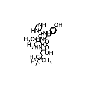 CCC(C)C(NC(=O)C(Cc1ccc(O)cc1)NC(=O)[C@H]1CNCCN1)C(=O)NC(CCC(C)(C)C)C(=O)O